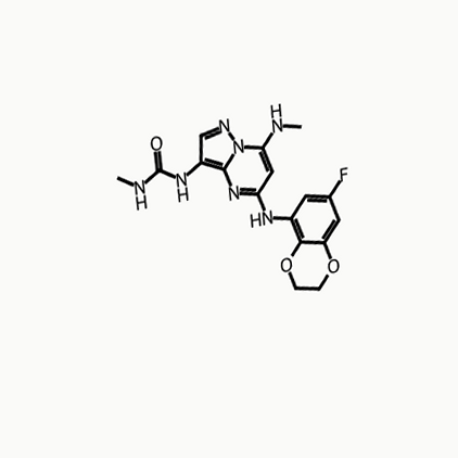 CNC(=O)Nc1cnn2c(NC)cc(Nc3cc(F)cc4c3OCCO4)nc12